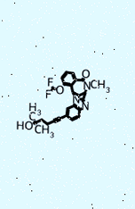 CN1C(=O)c2cccc(OC(F)F)c2C2CC1c1nc3ccc(C#CCCC(C)(C)O)cc3n12